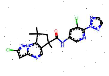 CC1(C)CC(C)(C(=O)Nc2cnc(-n3nccn3)c(Cl)c2)c2cnc3cc(Cl)nn3c21